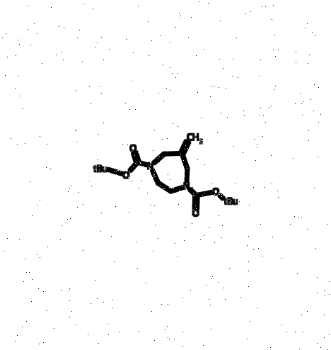 C=C1CN(C(=O)OC(C)(C)C)CCN(C(=O)OC(C)(C)C)C1